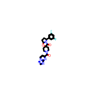 O=C(c1ccn2ncnc2n1)N1CCC2(CC1)OC1CCC(c3cc(F)cc(F)c3)N1C2=O